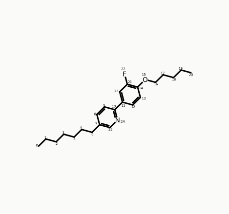 CCCCCCCc1ccc(-c2ccc(OCCCCC)c(F)c2)nc1